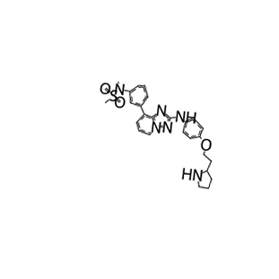 CN(c1cccc(-c2cccn3nc(Nc4ccc(OCCC5CCCN5)cc4)nc23)c1)S(C)(=O)=O